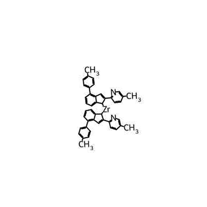 Cc1ccc(-c2cccc3c2C=C(c2ccc(C)cn2)[CH]3[Zr][CH]2C(c3ccc(C)cn3)=Cc3c(-c4ccc(C)cc4)cccc32)cc1